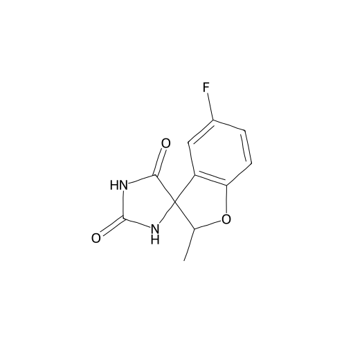 CC1Oc2ccc(F)cc2C12NC(=O)NC2=O